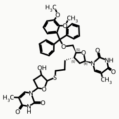 COc1cccc(C(OC[C@H]2O[C@@H](n3cc(C)c(=O)[nH]c3=O)C[C@@H]2CCCSC2OC(n3cc(C)c(=O)[nH]c3=O)CC2O)(c2ccccc2)c2ccccc2)c1OC